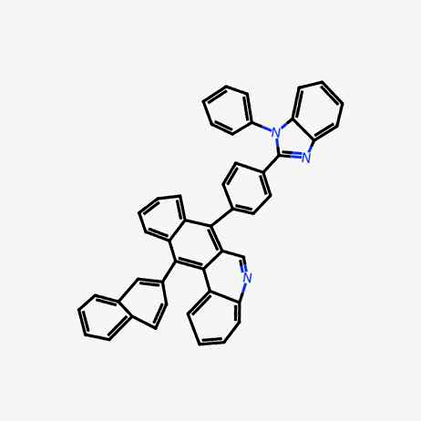 c1ccc(-n2c(-c3ccc(-c4c5ccccc5c(-c5ccc6ccccc6c5)c5c4cnc4ccccc45)cc3)nc3ccccc32)cc1